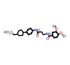 CCOc1ccc(C(=O)NCCC(=O)Nc2ccc(C3CCC(CC(=O)O)CC3)cc2)cc1OCC